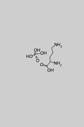 NCCCC(N)C(=O)O.O=P(O)(O)O